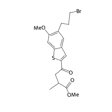 COC(=O)C(C)CC(=O)c1cc2cc(CCCBr)c(OC)cc2s1